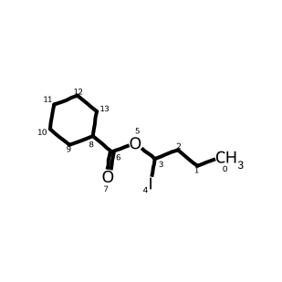 CCCC(I)OC(=O)C1CCCCC1